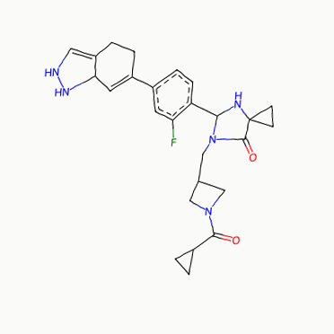 O=C(C1CC1)N1CC(CN2C(=O)C3(CC3)NC2c2ccc(C3=CC4NNC=C4CC3)cc2F)C1